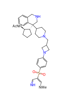 CN/C=C(\C=N)S(=O)(=O)c1ccc(N2CC(CN3CCC(C4([C@@H]5CCC[C@H]5NC(C)=O)CNCc5ccccc54)CC3)C2)cc1